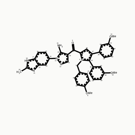 COc1ccc(Cn2c(C(=O)c3cnn(-c4ccc5[nH]c(C)nc5c4)c3N)cc(-c3cccc(OC)c3)c2-c2cccc(OC)c2)cc1